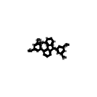 CC(C)(C)c1cc(-c2cccc3c2c2c(C(C)(C)C)cccc2n3-c2cc(C(C)(C)C)cc(C(C)(C)C)c2)cc(C(C)(C)C)c1